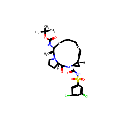 C=C1[C@@H](NC(=O)OC(C)(C)C)CCCCC/C=C\[C@@H]2C[C@@]2(C(=O)NS(=O)(=O)c2cc(Cl)cc(Cl)c2)NC(=O)[C@@H]2CCCN12